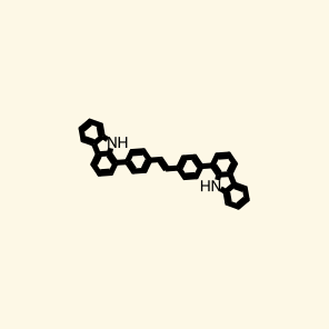 C(=Cc1ccc(-c2cccc3c2[nH]c2ccccc23)cc1)c1ccc(-c2cccc3c2[nH]c2ccccc23)cc1